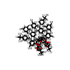 Cc1cc(C)c(N2c3cc4c(cc3B3c5cc6c(cc5N(c5ccc(C(C)(C)C)cc5)c5cc(C)cc2c53)N(c2c(C)cc(C)cc2C)c2cc(C)cc3c2B6c2sc5ccc(C(C)(C)C)cc5c2N3c2ccc(C(C)(C)C)cc2)B2c3sc5ccc(C(C)(C)C)cc5c3N(c3ccc(C(C)(C)C)cc3)c3cc(C)cc(c32)N4c2ccc(C(C)(C)C)cc2)c(C)c1